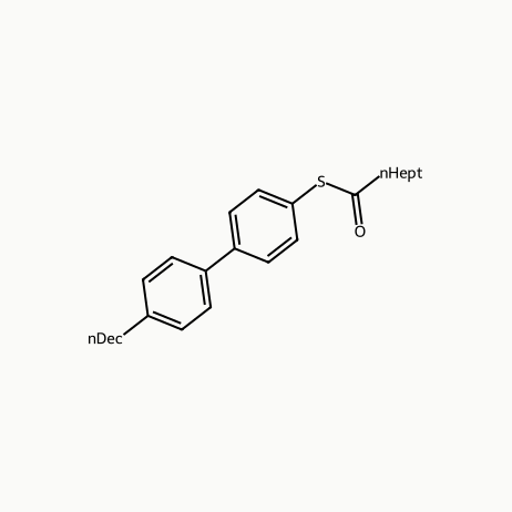 CCCCCCCCCCc1ccc(-c2ccc(SC(=O)CCCCCCC)cc2)cc1